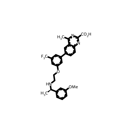 COc1cccc([C@@H](C)NCCOc2cc(-c3ccc4nc(C(=O)O)nc(C)c4c3)cc(C(F)(F)F)c2)c1